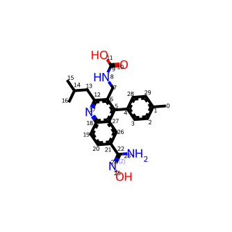 Cc1ccc(-c2c(CNC(=O)O)c(CC(C)C)nc3ccc(/C(N)=N/O)cc23)cc1